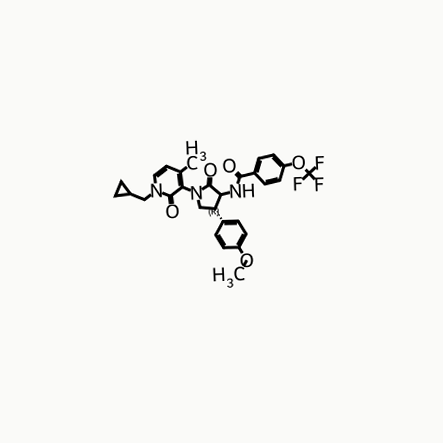 COc1ccc([C@@H]2CN(c3c(C)ccn(CC4CC4)c3=O)C(=O)C2NC(=O)c2ccc(OC(F)(F)F)cc2)cc1